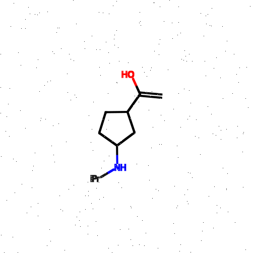 C=C(O)C1CCC(NC(C)C)C1